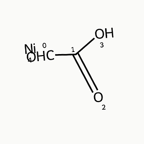 O=CC(=O)O.[Ni]